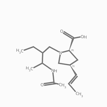 CC=C[C@@H]1C[C@H](C(=O)O)N(CC(CC)C(C)NC(C)=O)C1